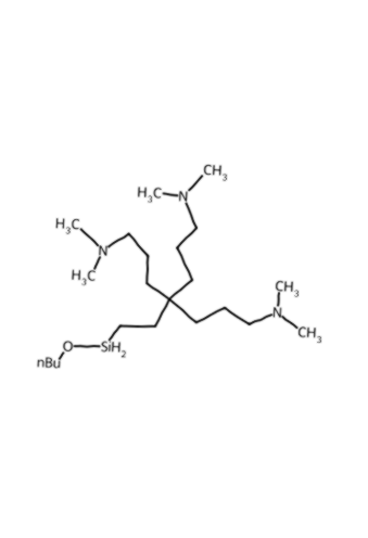 CCCCO[SiH2]CCC(CCCN(C)C)(CCCN(C)C)CCCN(C)C